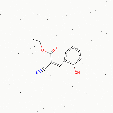 CCOC(=O)C(C#N)=Cc1ccccc1O